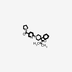 CN(C)C(=O)C1(c2ccccc2)CCN(c2ccc(C(=O)N3CCCC3)cn2)CC1